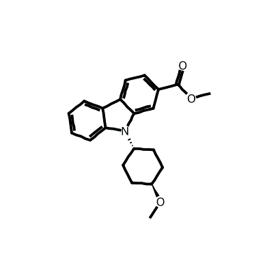 COC(=O)c1ccc2c3ccccc3n([C@H]3CC[C@H](OC)CC3)c2c1